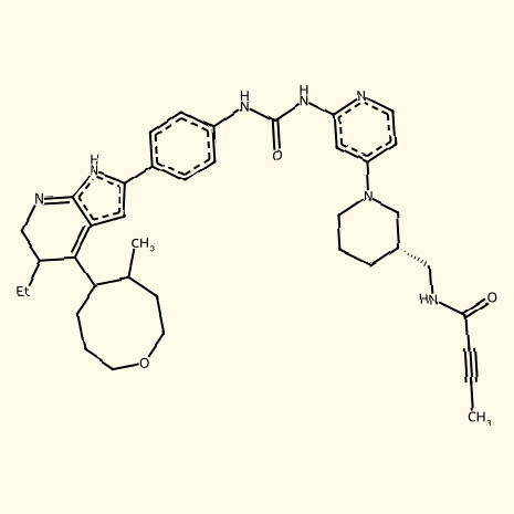 CC#CC(=O)NC[C@@H]1CCCN(c2ccnc(NC(=O)Nc3ccc(-c4cc5c([nH]4)=NCC(CC)C=5C4CCCOCCC4C)cc3)c2)C1